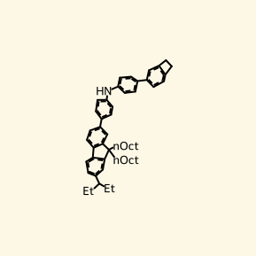 CCCCCCCCC1(CCCCCCCC)c2cc(-c3ccc(Nc4ccc(-c5ccc6c(c5)CC6)cc4)cc3)ccc2-c2ccc(C(CC)CC)cc21